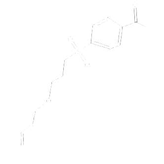 C=CCCOCCCS(=O)(=O)c1ccc(C(C)=O)cc1